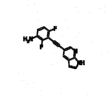 Nc1ccc(F)c(C#Cc2cnc3[nH]ccc3c2)c1F